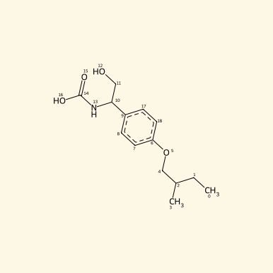 CCC(C)COc1ccc(C(CO)NC(=O)O)cc1